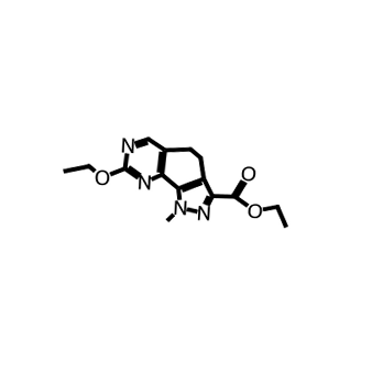 CCOC(=O)c1nn(C)c2c1CCc1cnc(OCC)nc1-2